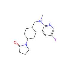 CN(CC1CCC(N2CCCC2=O)CC1)c1ccc(I)cn1